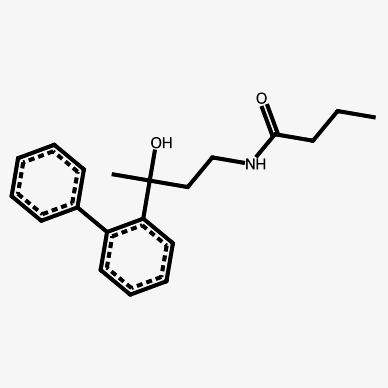 CCCC(=O)NCCC(C)(O)c1ccccc1-c1ccccc1